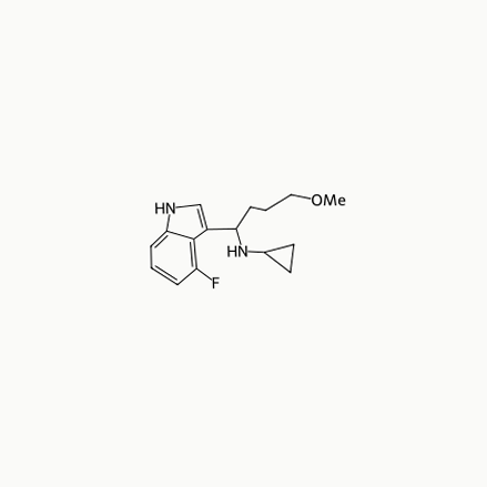 COCCCC(NC1CC1)c1c[nH]c2cccc(F)c12